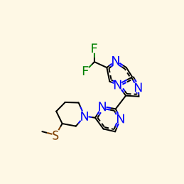 CSC1CCCN(c2ccnc(-c3cnc4cnc(C(F)F)cn34)n2)C1